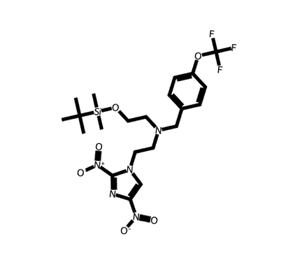 CC(C)(C)[Si](C)(C)OCCN(CCn1cc([N+](=O)[O-])nc1[N+](=O)[O-])Cc1ccc(OC(F)(F)F)cc1